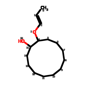 CC=COC1CCCCCCCCCCC1O